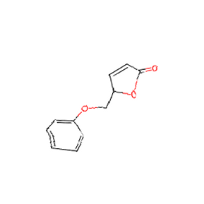 O=C1C=CC(COc2ccccc2)O1